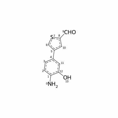 Nc1ccc(-c2csc(C=O)c2)cc1O